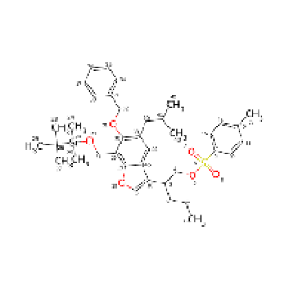 CCCC(COS(=O)(=O)c1ccc(C)cc1)c1coc2c(CO[Si](C)(C)C(C)(C)C)c(OCc3ccccc3)c(CC(C)C)cc12